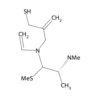 C=CN(CC(=C)CS)C(SC)[C@@H](C)NC